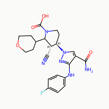 N#C[C@@H]1C(C2CCOCC2)N(C(=O)O)CC[C@H]1n1cc(C(N)=O)c(Nc2ccc(F)cc2)n1